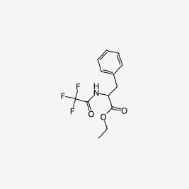 CCOC(=O)C(Cc1ccccc1)NC(=O)C(F)(F)F